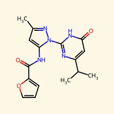 Cc1cc(NC(=O)c2ccco2)n(-c2nc(C(C)C)cc(=O)[nH]2)n1